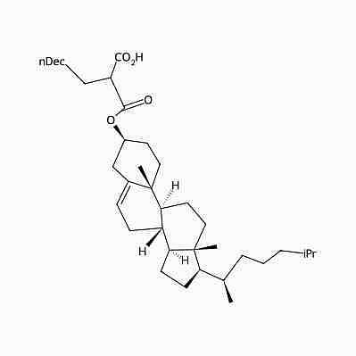 CCCCCCCCCCCC(C(=O)O)C(=O)O[C@H]1CC[C@@]2(C)C(=CC[C@H]3[C@@H]4CC[C@H]([C@H](C)CCCC(C)C)[C@@]4(C)CC[C@@H]32)C1